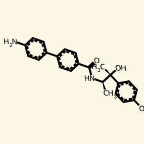 C[C@@H](NC(=O)c1ccc(-c2ccc(N)cc2)cc1)[C@](C)(O)c1ccc(O)cc1